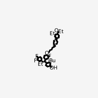 CCC(=O)c1ccc(N2CCN(CCCCCOc3ccc([C@H](c4ccc(O)cc4C(C)CC)C(CC)c4ccc(F)c(F)c4)cc3F)CC2)cc1CC